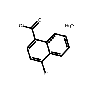 O=C([O-])c1ccc(Br)c2ccccc12.[Hg+]